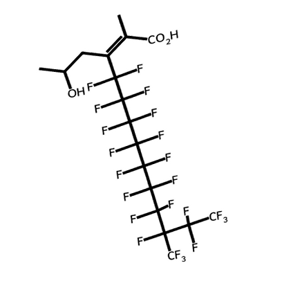 CC(C(=O)O)=C(CC(C)O)C(F)(F)C(F)(F)C(F)(F)C(F)(F)C(F)(F)C(F)(F)C(F)(F)C(F)(C(F)(F)F)C(F)(F)C(F)(F)F